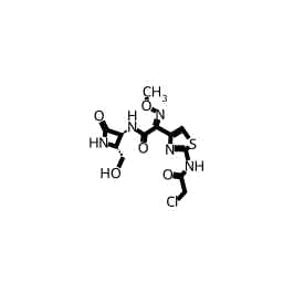 CO/N=C(\C(=O)N[C@H]1C(=O)N[C@H]1CO)c1csc(NC(=O)CCl)n1